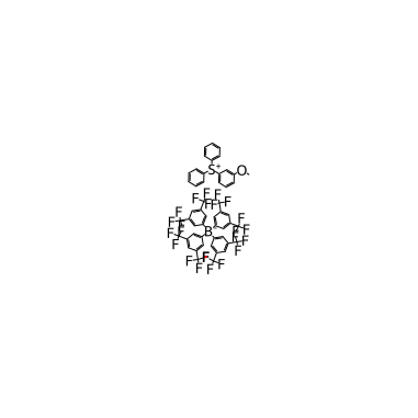 COc1cccc([S+](c2ccccc2)c2ccccc2)c1.FC(F)(F)c1cc([B-](c2cc(C(F)(F)F)cc(C(F)(F)F)c2)(c2cc(C(F)(F)F)cc(C(F)(F)F)c2)c2cc(C(F)(F)F)cc(C(F)(F)F)c2)cc(C(F)(F)F)c1